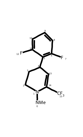 CNN1CCC(c2c(F)cccc2F)C=C1C(F)(F)F